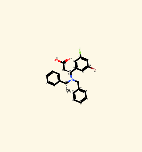 C[C@H](c1ccccc1)N(Cc1ccccc1)[C@@H](CC(=O)O)c1cc(F)cc(Br)c1